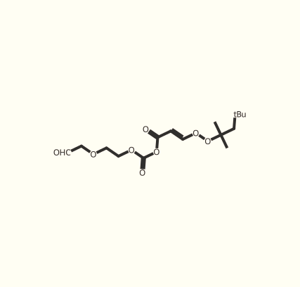 CC(C)(C)CC(C)(C)OOC=CC(=O)OC(=O)OCCOCC=O